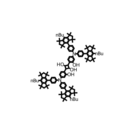 CCCCc1c2c(c(-c3ccc(N(c4ccc(-c5c6c(c(CCCC)c7c5C(C)(C)CC7(C)C)C(C)(C)CC6(C)C)cc4)c4ccc(C5C(O)C(c6ccc(N(c7ccc(-c8c9c(c(CCCC)c%10c8C(C)(C)CC%10(C)C)C(C)(C)CC9(C)C)cc7)c7ccc(-c8c9c(c(CCCC)c%10c8C(C)(C)CC%10(C)C)C(C)(C)CC9(C)C)cc7)cc6O)C5O)c(O)c4)cc3)c3c1C(C)(C)CC3(C)C)C(C)(C)CC2(C)C